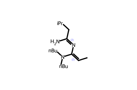 C/C=C(\N=C(/N)CC(C)C)N(CCCC)CCCC